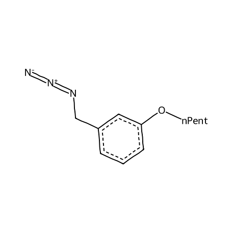 CCCCCOc1cccc(CN=[N+]=[N-])c1